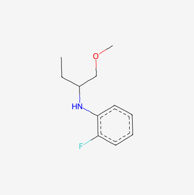 CCC(COC)Nc1ccccc1F